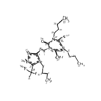 CCCCn1c(N=Nc2c(O)n(CCCC)c(=S)n(CCCC)c2=O)nnc1C(F)(F)F